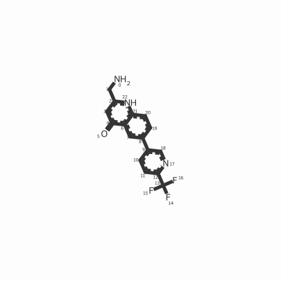 NCc1cc(=O)c2cc(-c3ccc(C(F)(F)F)nc3)ccc2[nH]1